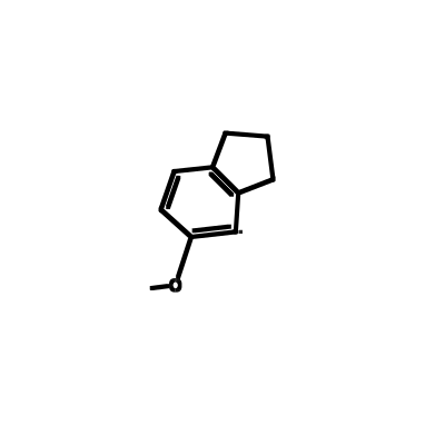 COc1[c]c2c(cc1)CCC2